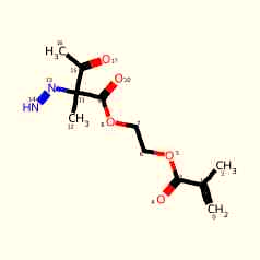 C=C(C)C(=O)OCCOC(=O)C(C)(N=N)C(C)=O